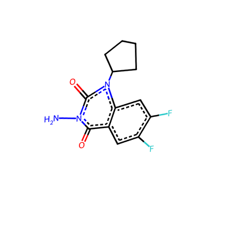 Nn1c(=O)c2cc(F)c(F)cc2n(C2CCCC2)c1=O